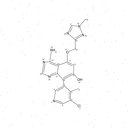 Cc1c(Cl)cncc1-c1c(O)cc(OCc2ncn(C)n2)c2c(N)ncnc12